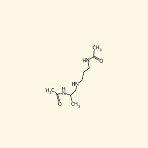 CC(=O)NCCCNCC(C)NC(C)=O